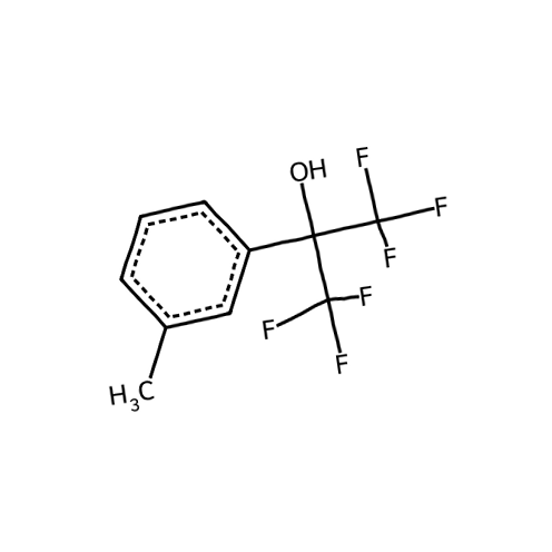 Cc1cccc(C(O)(C(F)(F)F)C(F)(F)F)c1